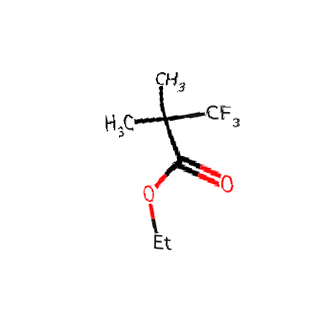 CCOC(=O)C(C)(C)C(F)(F)F